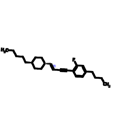 CCCCC[C@H]1CC[C@H](/C=C/C#Cc2ccc(CCCC)cc2F)CC1